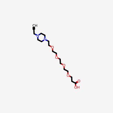 C#CCN1CCN(CCOCCOCCOCCOCCC(=O)O)CC1